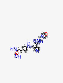 N=COC(=N)CCc1ccc(N/C=C/c2cnccc2/C(C=N)=C/NCCN2CCOCC2)cc1